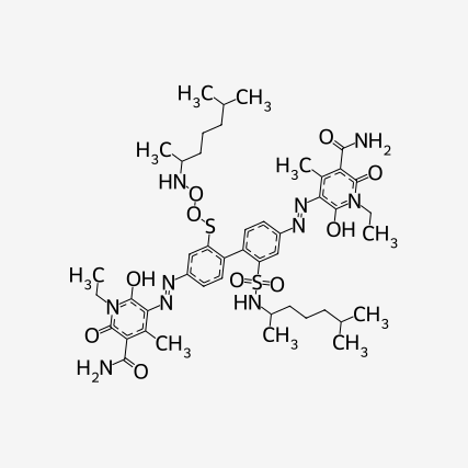 CCn1c(O)c(N=Nc2ccc(-c3ccc(N=Nc4c(C)c(C(N)=O)c(=O)n(CC)c4O)cc3S(=O)(=O)NC(C)CCCC(C)C)c(SOONC(C)CCCC(C)C)c2)c(C)c(C(N)=O)c1=O